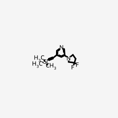 C[Si](C)(C)C#Cc1cncc(N2CCC(F)(F)C2)c1